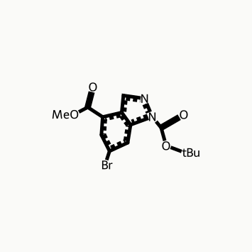 COC(=O)c1cc(Br)cc2c1cnn2C(=O)OC(C)(C)C